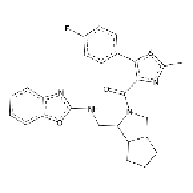 Cc1nc(C(=O)N2CC3CCCC3C2CNc2nc3ccccc3o2)c(-c2ccc(F)cc2)s1